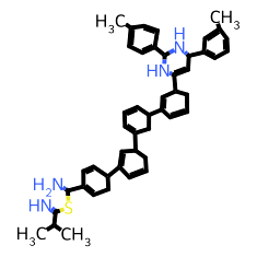 Cc1ccc(C2NC(C3C=C(C4C=CC=C(C5C=C(C6C=CC(C(N)SC(=N)C(C)C)=CC6)C=CC5)C4)C=CC3)=CC(c3cccc(C)c3)N2)cc1